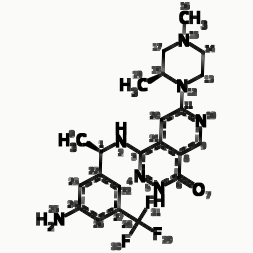 C[C@@H](Nc1n[nH]c(=O)c2cnc(N3CCN(C)C[C@@H]3C)cc12)c1cc(N)cc(C(F)(F)F)c1